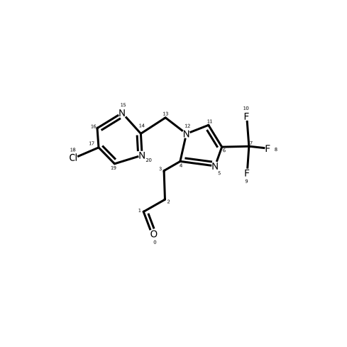 O=CCCc1nc(C(F)(F)F)cn1Cc1ncc(Cl)cn1